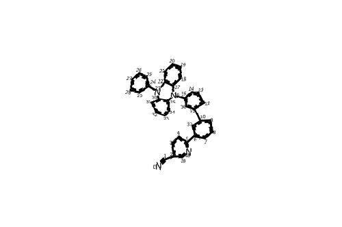 N#Cc1ccc(-c2cccc(-c3cccc(N4c5ccccc5N(c5ccccc5)c5ccccc54)c3)c2)nc1